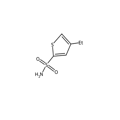 CCc1csc(S(N)(=O)=O)c1